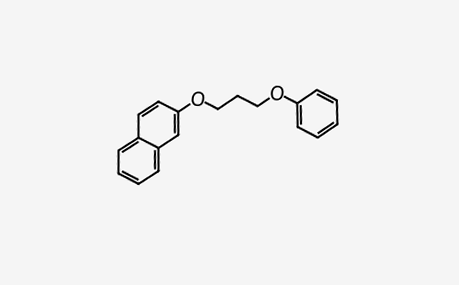 c1ccc(OCCCOc2ccc3ccccc3c2)cc1